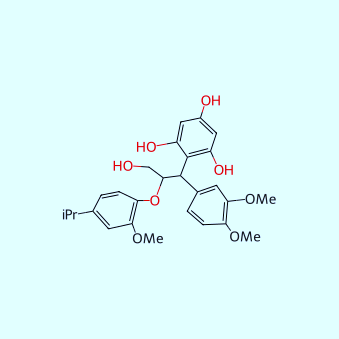 COc1ccc(C(c2c(O)cc(O)cc2O)C(CO)Oc2ccc(C(C)C)cc2OC)cc1OC